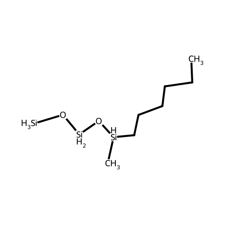 CCCCCC[SiH](C)O[SiH2]O[SiH3]